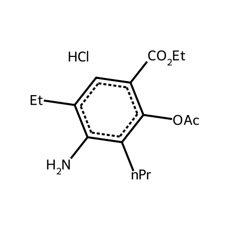 CCCc1c(N)c(CC)cc(C(=O)OCC)c1OC(C)=O.Cl